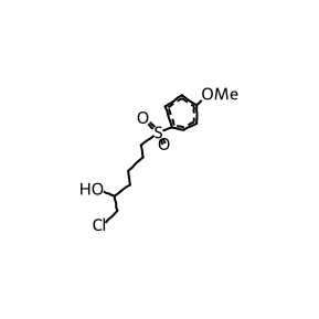 COc1ccc(S(=O)(=O)CCCCC(O)CCl)cc1